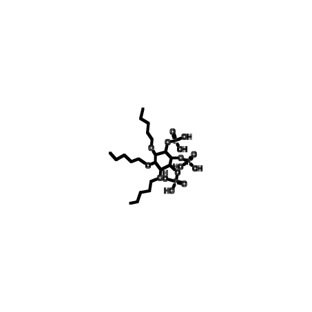 CCCCCOC1C(OCCCCC)C(OP(=O)(O)O)C(OP(=O)(O)O)C(OP(=O)(O)O)C1OCCCCC